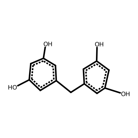 Oc1cc(O)cc(Cc2cc(O)cc(O)c2)c1